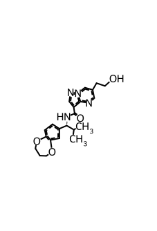 CC(C)[C@@H](NC(=O)c1cnn2cc(CCO)cnc12)c1ccc2c(c1)OCCCO2